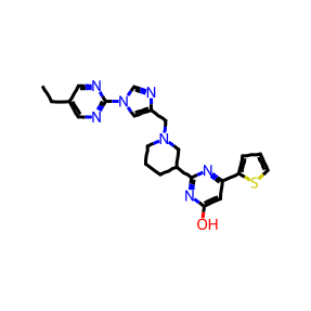 CCc1cnc(-n2cnc(CN3CCCC(c4nc(O)cc(-c5cccs5)n4)C3)c2)nc1